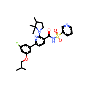 CC(C)COc1cc(F)cc(-c2ccc(C(=O)NS(=O)(=O)c3cccnc3)c(N3CCC(C)C3(C)C)n2)c1